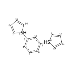 C1=C[SH](c2cccc([SH]3C=CC=C3)c2)C=C1